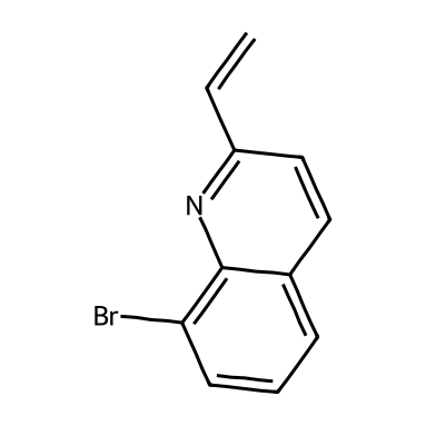 C=Cc1ccc2cccc(Br)c2n1